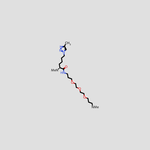 CNCCCOCCOCCOCCCNC(=O)[C@H](CCCCn1cc(C)nn1)NC